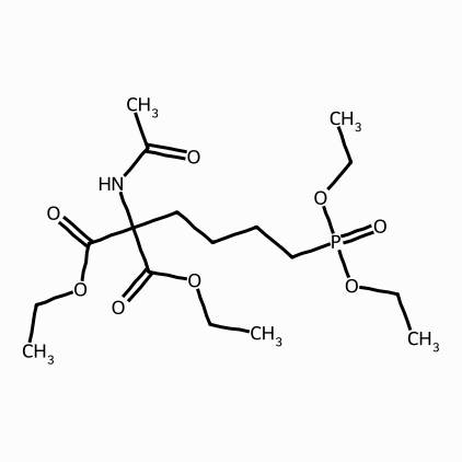 CCOC(=O)C(CCCCP(=O)(OCC)OCC)(NC(C)=O)C(=O)OCC